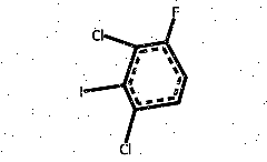 Fc1ccc(Cl)c(I)c1Cl